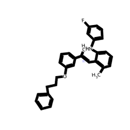 C/C(=C\c1c(C)cccc1Nc1cccc(F)c1)c1cccc(OCCCc2ccccc2)c1